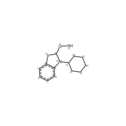 SOC1Sc2ccccc2N1C1CCCCC1